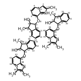 Cc1cn2cccc(OC3c4ccccc4C(C)C3O)c2n1.Cc1nc2c(OC3c4ccccc4C(C)C3O)cccn2c1C.Cc1nc2c(OC3c4ccccc4C(C)C3O)cccn2c1N